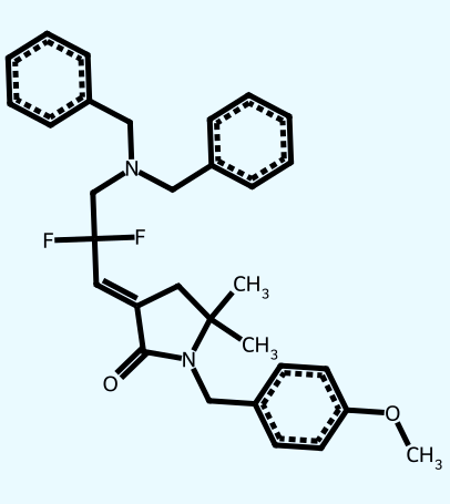 COc1ccc(CN2C(=O)C(=CC(F)(F)CN(Cc3ccccc3)Cc3ccccc3)CC2(C)C)cc1